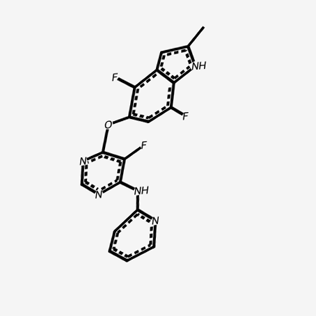 Cc1cc2c(F)c(Oc3ncnc(Nc4ccccn4)c3F)cc(F)c2[nH]1